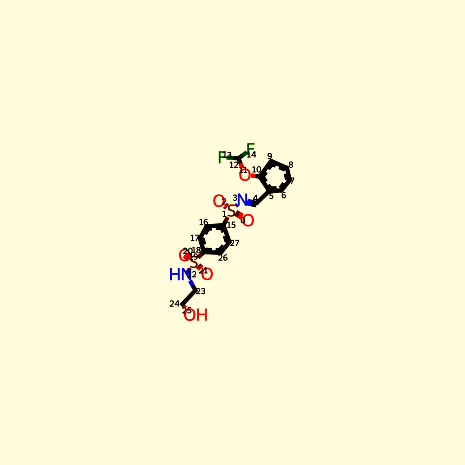 O=S(=O)(/N=C/c1ccccc1OC(F)F)c1ccc(S(=O)(=O)NCCO)cc1